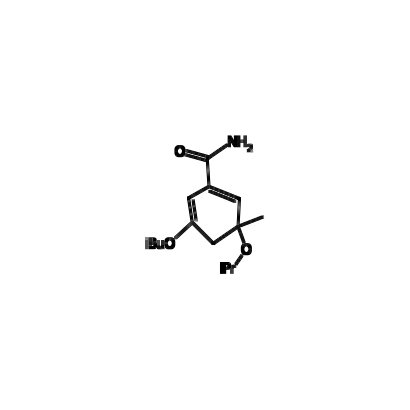 CC(C)COC1=CC(C(N)=O)=CC(C)(OC(C)C)C1